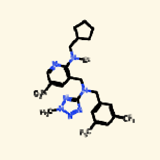 CCN(CC1CCCC1)c1ncc([N+](=O)[O-])cc1CN(Cc1cc(C(F)(F)F)cc(C(F)(F)F)c1)c1nnn(C)n1